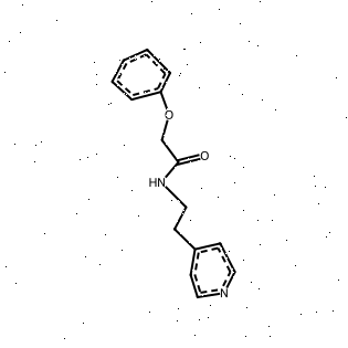 O=C(COc1cc[c]cc1)NCCc1ccncc1